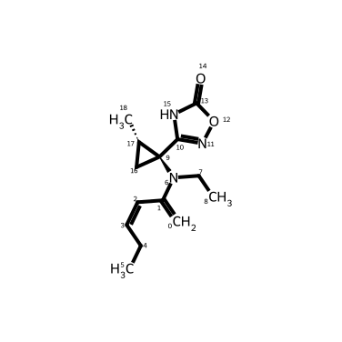 C=C(/C=C\CC)N(CC)[C@@]1(c2noc(=O)[nH]2)C[C@@H]1C